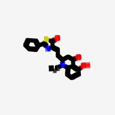 CN1c2cccc(O)c2C(=O)CC1CC=C1N=C(c2ccccc2)SC1=O